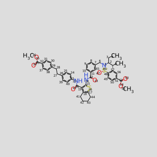 CCC(CC)N(Cc1cccc(C(=O)Nc2sc3c(c2C(=O)Nc2ccc(CCc4ccc(C(=O)OC)cc4)cc2)CCCC3)c1)[S+]([O-])c1ccc(C(=O)OC)cc1